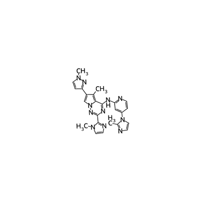 Cc1c(-c2ccn(C)n2)cn2nc(-c3nccn3C)nc(Nc3cc(-n4ccnc4C)ccn3)c12